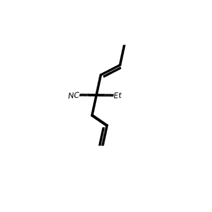 C=CCC(C#N)(C=CC)CC